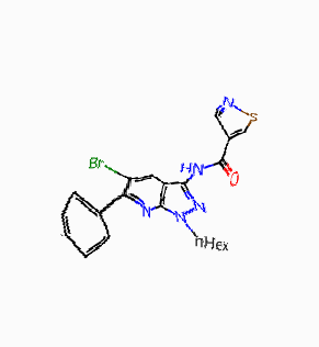 CCCCCCn1nc(NC(=O)c2cnsc2)c2cc(Br)c(-c3cc[c]cc3)nc21